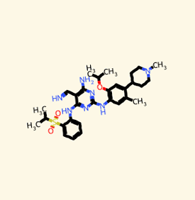 Cc1cc(Nc2nc(N)c(C=N)c(Nc3ccccc3S(=O)(=O)C(C)C)n2)c(OC(C)C)cc1C1CCN(C)CC1